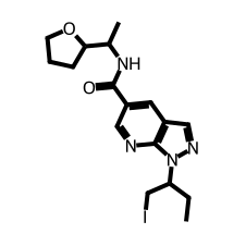 CCC(CI)n1ncc2cc(C(=O)NC(C)C3CCCO3)cnc21